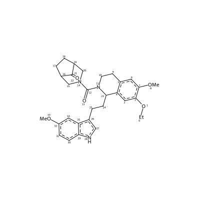 CCOc1cc2c(cc1OC)CCN(C(=O)N1CC3CCC(C1)C3=O)C2CCc1c[nH]c2ccc(OC)cc12